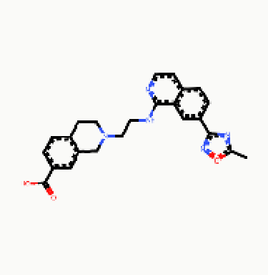 Cc1nc(-c2ccc3ccnc(NCCN4CCc5ccc(C(=O)O)cc5C4)c3c2)no1